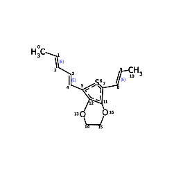 C/C=C/C=C/c1sc(/C=C/C)c2c1OCCO2